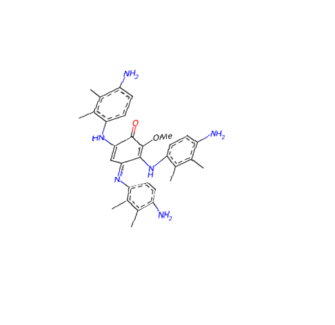 COC1=C(Nc2ccc(N)c(C)c2C)/C(=N\c2ccc(N)c(C)c2C)C=C(Nc2ccc(N)c(C)c2C)C1=O